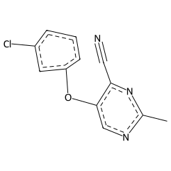 Cc1ncc(Oc2cccc(Cl)c2)c(C#N)n1